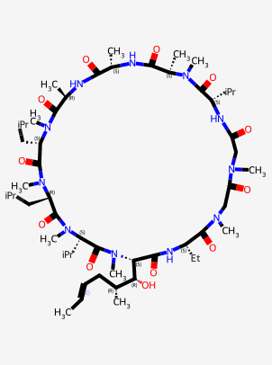 C/C=C/C[C@@H](C)[C@@H](O)[C@H]1C(=O)N[C@@H](CC)C(=O)N(C)CC(=O)N(C)CC(=O)N[C@@H](C(C)C)C(=O)N(C)[C@@H](C)C(=O)N[C@@H](C)C(=O)N[C@H](C)C(=O)N(C)[C@@H](CC(C)C)C(=O)N(C)[C@H](CC(C)C)C(=O)N(C)[C@@H](C(C)C)C(=O)N1C